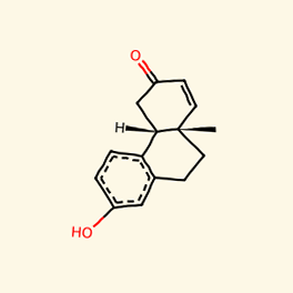 C[C@]12C=CC(=O)C[C@H]1c1ccc(O)cc1CC2